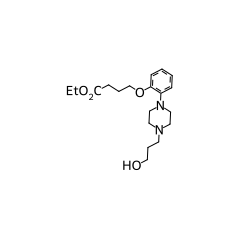 CCOC(=O)CCCOc1ccccc1N1CCN(CCCO)CC1